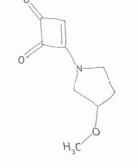 COC1CCN(c2cc(=O)c2=O)C1